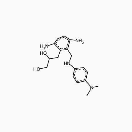 CN(C)c1ccc(NCc2c(N)ccc(N)c2CC(O)CO)cc1